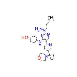 CCCCN(N)c1ncc(-c2ccc(C3(N4CCOCC4)CCC3)cn2)c(NC2CCC(O)CC2)n1